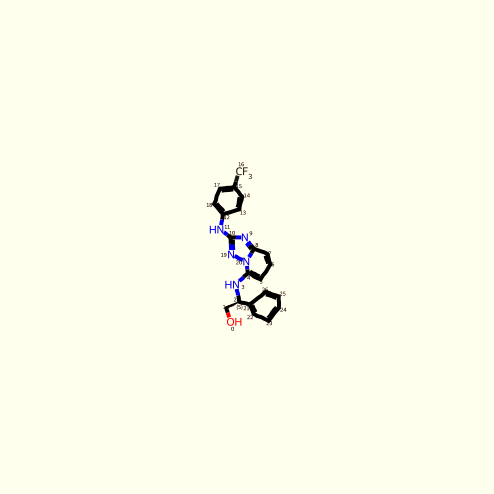 OC[C@@H](Nc1cccc2nc(Nc3ccc(C(F)(F)F)cc3)nn12)c1ccccc1